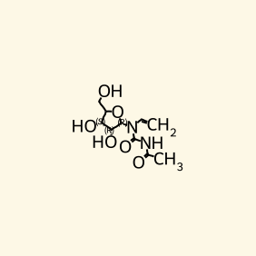 C=CN(C(=O)NC(C)=O)[C@@H]1OC(CO)[C@@H](O)[C@H]1O